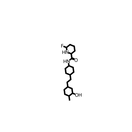 CC1CCC(CCC2CCC(NC(=O)C3CCCC(F)N3)CC2)CC1O